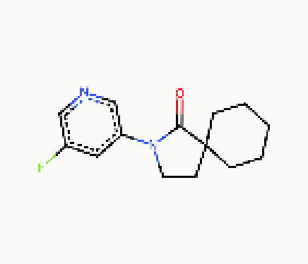 O=C1N(c2cncc(F)c2)CCC12CCCCC2